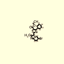 CCOC(=O)c1sc(-c2c(C)nc3ccc(Br)cn23)nc1-c1ccccc1